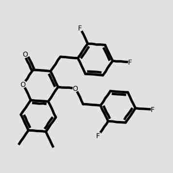 Cc1cc2oc(=O)c(Cc3ccc(F)cc3F)c(OCc3ccc(F)cc3F)c2cc1C